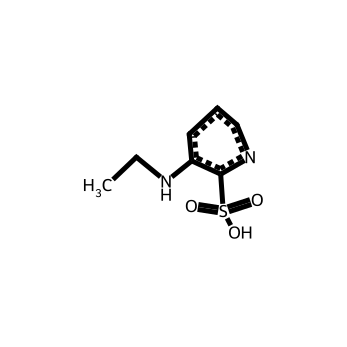 CCNc1cccnc1S(=O)(=O)O